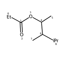 CCC(=O)OC(C)C(C)C(C)C